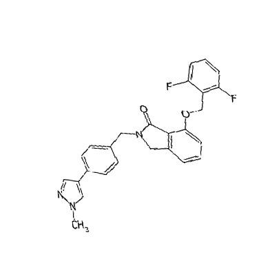 Cn1cc(-c2ccc(CN3Cc4cccc(OCc5c(F)cccc5F)c4C3=O)cc2)cn1